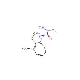 COCC1=C(C)C=CCC=C1NC(=O)N(C)N